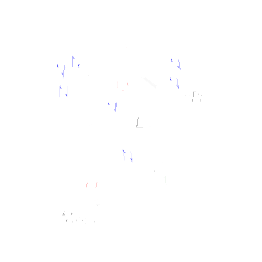 CCCn1cc(OCc2c(-c3ccc(N4CC(CC(=O)OC)CC(F)(F)C4)c(CC)n3)nnn2C)c(=O)cn1